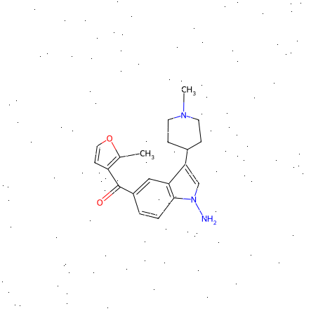 Cc1occc1C(=O)c1ccc2c(c1)c(C1CCN(C)CC1)cn2N